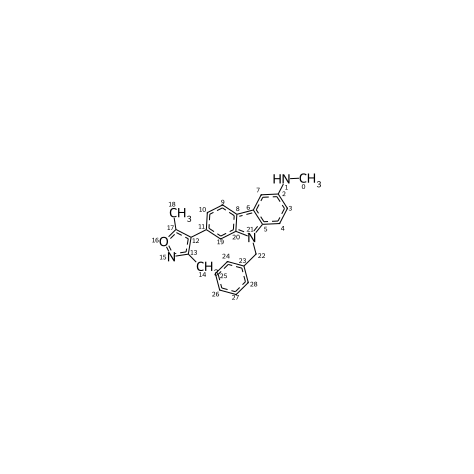 CNc1ccc2c(c1)c1ccc(-c3c(C)noc3C)cc1n2Cc1ccccc1